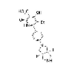 CCc1c(-c2ccc(N3C[C@H]4CNC[C@H]4C3)cc2)[nH]c(=O)c(C(=O)O)c1O